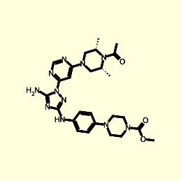 COC(=O)N1CCN(c2ccc(Nc3nc(N)n(-c4cc(N5C[C@@H](C)N(C(C)=O)[C@@H](C)C5)ncn4)n3)cc2)CC1